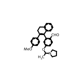 COc1ccc(C2=C(c3cc(OC(C)N4CCCC4)ccc3C=O)c3ccccc3CC2)cc1